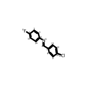 Fc1ccc(N=Cc2ccc(Cl)cc2)cc1